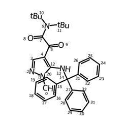 Cn1ncc(C(=O)C(=O)N(C(C)(C)C)C(C)(C)C)c1NC(c1ccccc1)(c1ccccc1)c1ccccc1